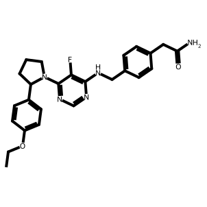 CCOc1ccc(C2CCCN2c2ncnc(NCc3ccc(CC(N)=O)cc3)c2F)cc1